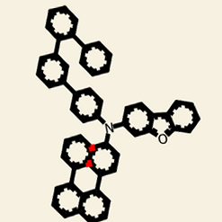 c1ccc(-c2ccccc2-c2cccc(-c3ccc(N(c4ccc(-c5cccc6cccc(-c7ccccc7)c56)cc4)c4ccc5c(c4)oc4ccccc45)cc3)c2)cc1